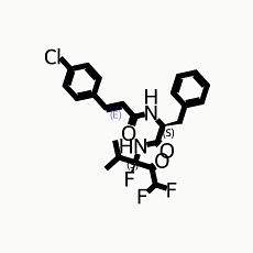 CC(C)[C@@](F)(NC(=O)[C@H](Cc1ccccc1)NC(=O)/C=C/c1ccc(Cl)cc1)C(=O)C(F)F